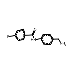 NCc1ccc(NC(=O)c2ccc(F)cc2)cc1